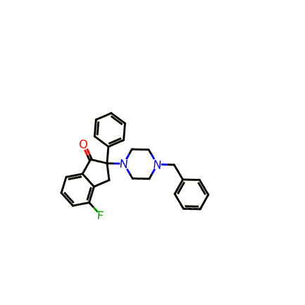 O=C1c2cccc(F)c2CC1(c1ccccc1)N1CCN(Cc2ccccc2)CC1